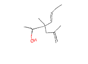 C=C(C)CC(C)(C=CC)C(C)O